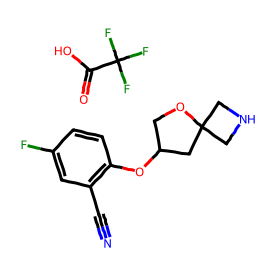 N#Cc1cc(F)ccc1OC1COC2(CNC2)C1.O=C(O)C(F)(F)F